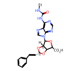 CCNC(=O)Nc1ncnc2c1ncn2C1OC(C(=O)O)C2O[C@H](C=Cc3ccccc3)O[C@@H]21